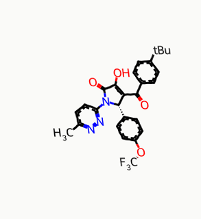 Cc1ccc(N2C(=O)C(O)=C(C(=O)c3ccc(C(C)(C)C)cc3)[C@@H]2c2ccc(OC(F)(F)F)cc2)nn1